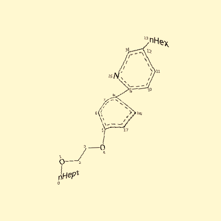 CCCCCCCOCCOc1ccc(-c2ccc(CCCCCC)cn2)cc1